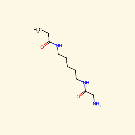 CCC(=O)NCCCCCNC(=O)CN